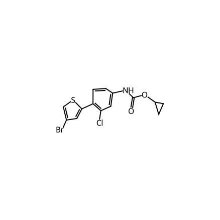 O=C(Nc1ccc(-c2cc(Br)cs2)c(Cl)c1)OC1CC1